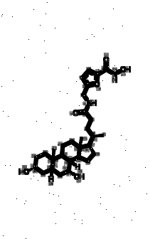 C[C@H](CCC(=O)NCc1ccc(C(=O)NO)o1)[C@H]1CCC2[C@H]3C(CC[C@@]21C)[C@@]1(C)CC[C@@H](O)C[C@H]1C[C@@H]3O